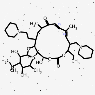 CCC1OC(=O)CC(O)C(C)C(OC2OC(C)C(C)C(N(C)C)C2O)C(CCN2CCCCC2)CC(C)C(=O)/C=C/C(C)=C/C1CN1CCCCC1